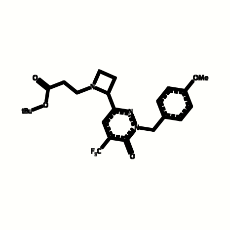 COc1ccc(Cn2nc(C3CCN3CCC(=O)OC(C)(C)C)cc(C(F)(F)F)c2=O)cc1